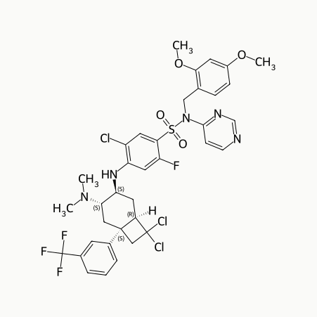 COc1ccc(CN(c2ccncn2)S(=O)(=O)c2cc(Cl)c(N[C@H]3C[C@H]4C(Cl)(Cl)C[C@@]4(c4cccc(C(F)(F)F)c4)C[C@@H]3N(C)C)cc2F)c(OC)c1